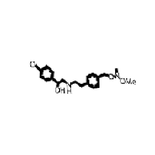 CON(C)OCc1ccc(CCNCC(O)c2ccc(Cl)cc2)cc1